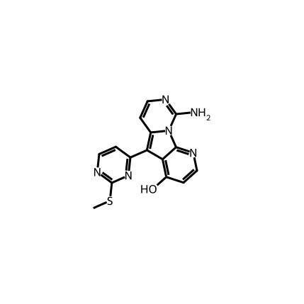 CSc1nccc(-c2c3c(O)ccnc3n3c(N)nccc23)n1